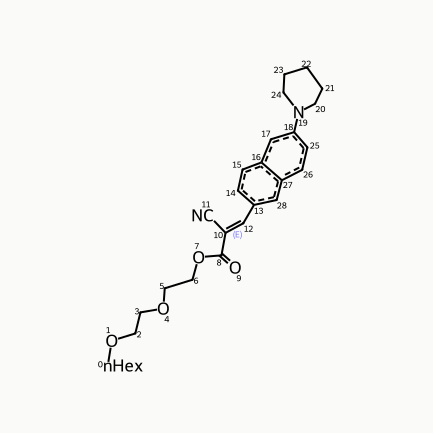 CCCCCCOCCOCCOC(=O)/C(C#N)=C/c1ccc2cc(N3CCCCC3)ccc2c1